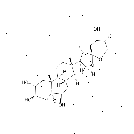 C[C@@H]1CO[C@]2(C[C@@H]1O)O[C@H]1C[C@H]3[C@@H]4C[C@@H](O)[C@@]5(O)C[C@@H](O)[C@H](O)C[C@]5(C)[C@H]4CC[C@]3(C)[C@H]1[C@@H]2C